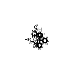 CONc1ncnc2c1ncn2[C@@]1(C(c2ccccc2)(c2ccccc2)c2ccccc2)C[C@H](O)[C@@H](CO)O1